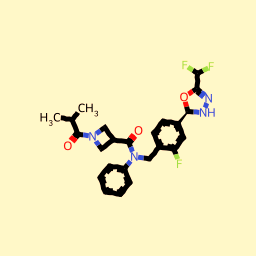 CC(C)C(=O)N1CC(C(=O)N(Cc2ccc([C@@H]3NN=C(C(F)F)O3)cc2F)c2ccccc2)C1